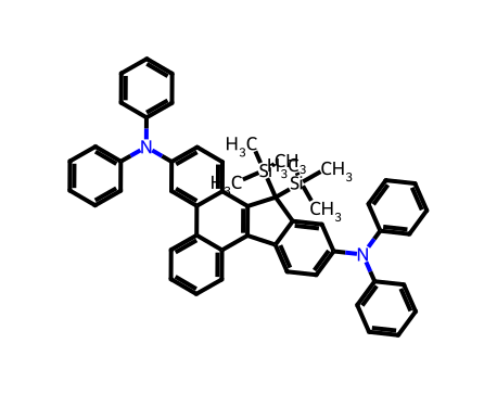 C[Si](C)(C)C1([Si](C)(C)C)c2cc(N(c3ccccc3)c3ccccc3)ccc2-c2c1c1ccc(N(c3ccccc3)c3ccccc3)cc1c1ccccc21